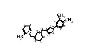 CC1=CCC=CN1CC1CCCN(CC2=CC(c3ccc(C)c(C)c3)N=C2)C1